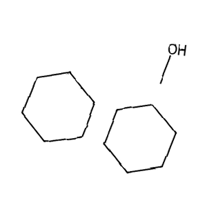 C1CCCCC1.C1CCCCC1.CO